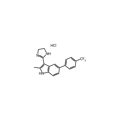 Cc1[nH]c2ccc(-c3ccc(C(F)(F)F)cc3)cc2c1C1=NCCN1.Cl